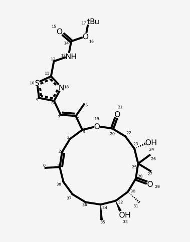 C/C1=C/CC(/C(C)=C/c2csc(CNC(=O)OC(C)(C)C)n2)OC(=O)C[C@H](O)C(C)(C)C(=O)[C@H](C)[C@@H](O)[C@@H](C)CCC1